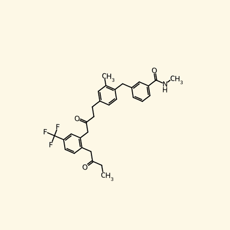 CCC(=O)Cc1ccc(C(F)(F)F)cc1CC(=O)CCc1ccc(Cc2cccc(C(=O)NC)c2)c(C)c1